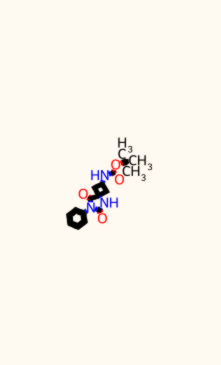 CC(C)(C)OC(=O)NC1CC2(C1)NC(=O)N(c1ccccc1)C2=O